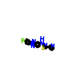 Fc1ccc(-n2nc3ccc(Nc4nc(-c5cccnc5)cs4)cc3n2)cc1